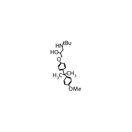 COc1ccc(C(C)(C)c2ccc(OCC(O)CNC(C)(C)C)cc2)cc1